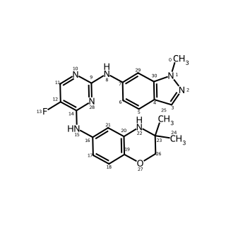 Cn1ncc2ccc(Nc3ncc(F)c(Nc4ccc5c(c4)NC(C)(C)CO5)n3)cc21